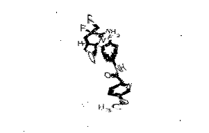 COc1ccc(C(=O)Nc2ccc(F)c([C@]34COC[C@H]3C[C@](F)(CF)C(N)=N4)c2)nc1